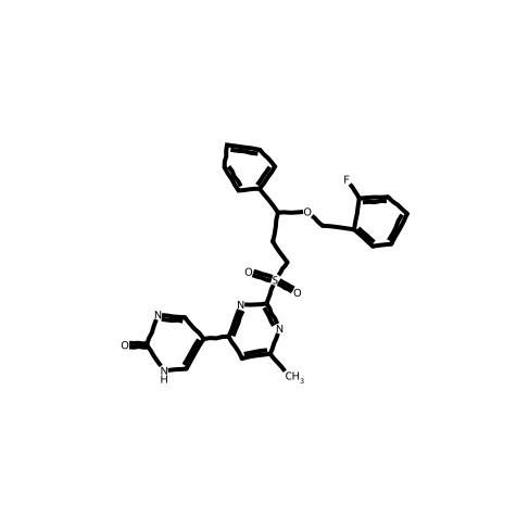 Cc1cc(-c2cnc(=O)[nH]c2)nc(S(=O)(=O)CCC(OCc2ccccc2F)c2ccccc2)n1